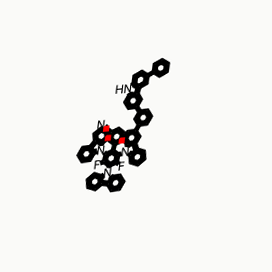 N#Cc1cccc(-c2c(-n3c4ccccc4c4ccccc43)c(F)c(-n3c4ccccc4c4ccccc43)c(F)c2-n2c3ccccc3c3cc(-c4cccc(-c5ccc6[nH]c7ccc(-c8ccccc8)cc7c6c5)c4)ccc32)c1